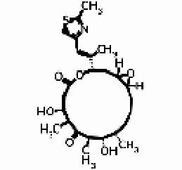 C/C(=C\c1csc(C)n1)[C@@H]1C[C@@H]2O[C@@H]2CCC[C@H](C)[C@H](O)[C@@H](C)C(=O)C(C)[C@@H](O)CC(=O)O1